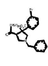 COC(=O)C1CN(Cc2ccccc2)CC1(C(=O)O)c1cccc(Br)c1